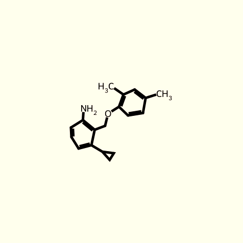 Cc1ccc(OCc2c(N)cccc2C2CC2)c(C)c1